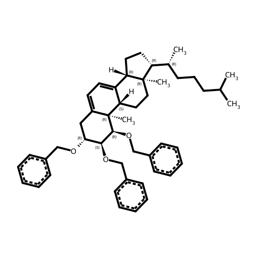 CC(C)CCC[C@@H](C)[C@H]1CC[C@H]2C3=CC=C4C[C@@H](OCc5ccccc5)[C@H](OCc5ccccc5)[C@H](OCc5ccccc5)[C@]4(C)[C@H]3CC[C@]12C